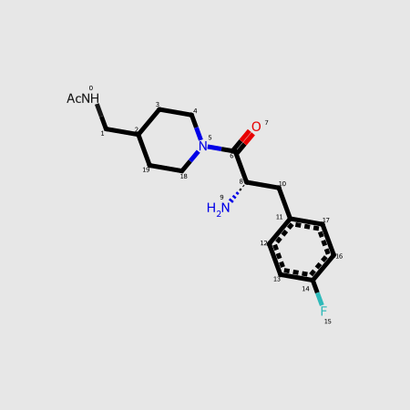 CC(=O)NCC1CCN(C(=O)[C@@H](N)Cc2ccc(F)cc2)CC1